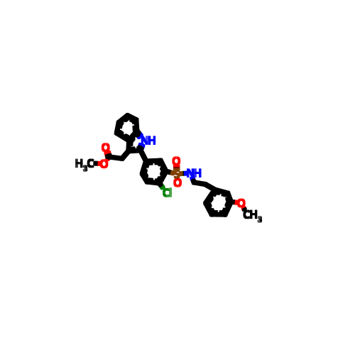 COC(=O)Cc1c(-c2ccc(Cl)c(S(=O)(=O)NCCc3cccc(OC)c3)c2)[nH]c2ccccc12